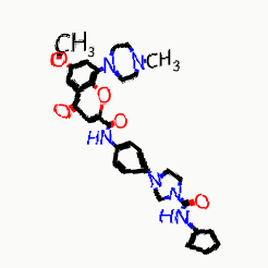 COc1cc(N2CCN(C)CC2)c2oc(C(=O)Nc3ccc(N4CCN(C(=O)NC5CCCC5)CC4)cc3)cc(=O)c2c1